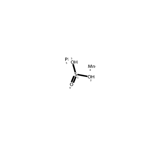 O=S(O)O.[Mn].[P]